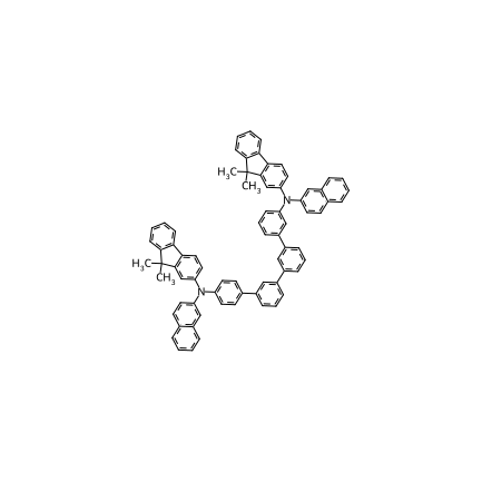 CC1(C)c2ccccc2-c2ccc(N(c3ccc(-c4cccc(-c5cccc(-c6cccc(N(c7ccc8c(c7)C(C)(C)c7ccccc7-8)c7ccc8ccccc8c7)c6)c5)c4)cc3)c3ccc4ccccc4c3)cc21